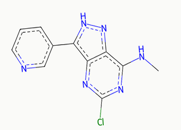 CNc1nc(Cl)nc2c(-c3cccnc3)[nH]nc12